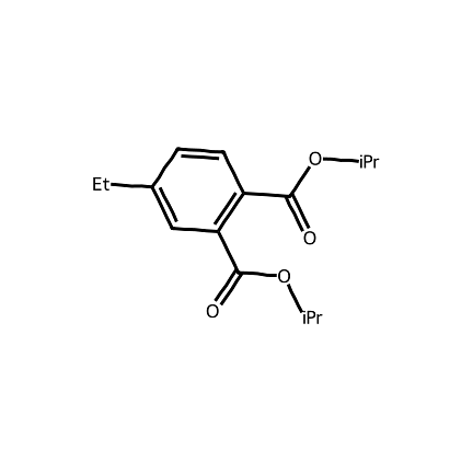 [CH2]Cc1ccc(C(=O)OC(C)C)c(C(=O)OC(C)C)c1